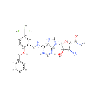 CNC(=O)[C@H]1O[C@@H](n2cnc3c(NCc4cc(C(F)(F)F)ccc4OCc4ccccc4)ncnc32)[C@H](O)[C@@H]1N